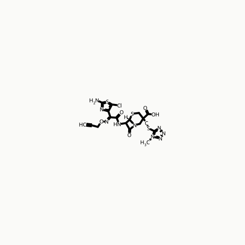 C#CCON=C(C(=O)NC1C(=O)N2CC(CSc3nnnn3C)(C(=O)O)CS[C@H]12)c1nc(N)sc1Cl